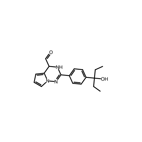 CCC(O)(CC)c1ccc(C2=Nn3cccc3C(C=O)N2)cc1